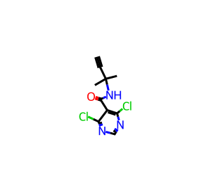 C#CC(C)(C)NC(=O)c1c(Cl)ncnc1Cl